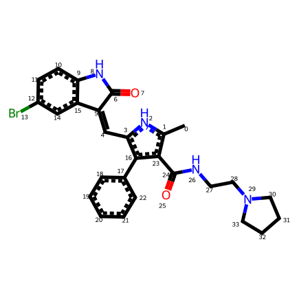 Cc1[nH]c(/C=C2\C(=O)Nc3ccc(Br)cc32)c(-c2ccccc2)c1C(=O)NCCN1CCCC1